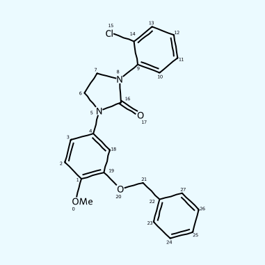 COc1ccc(N2CCN(c3ccccc3Cl)C2=O)cc1OCc1ccccc1